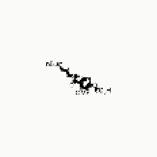 CCCCOCCCNC(=O)c1cnc(OC(=O)O)c(OC)c1